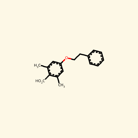 Cc1cc(OCCc2ccccc2)cc(C)c1C(=O)O